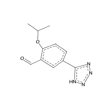 CC(C)Oc1ccc(-c2nnn[nH]2)cc1C=O